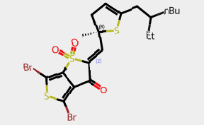 CCCCC(CC)CC1=CC[C@](C)(/C=C2/C(=O)c3c(Br)sc(Br)c3S2(=O)=O)S1